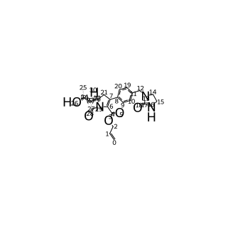 C=CCOC(=O)C1=C(c2ccc(CN3CCNC3=O)cc2)C[C@@H]2[C@@H]([C@@H](C)O)C(=O)N12